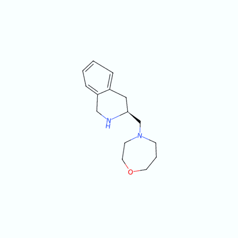 c1ccc2c(c1)CN[C@H](CN1CCCOCC1)C2